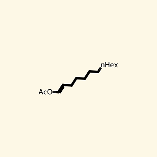 CCCCCCCCCCCC=COC(C)=O